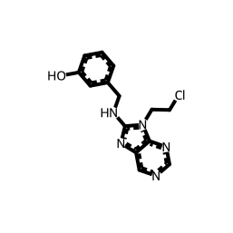 Oc1cccc(CNc2nc3cncnc3n2CCCl)c1